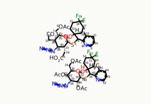 CC(=O)OC[C@@H]1O[C@@H](SC(c2ncccc2C)C2(O)CCC(F)(F)CC2)[C@H](CC(=O)O)[C@@H](N=[N+]=[N-])[C@H]1CC(=O)O.CC(=O)OC[C@H]1O[C@@H](SC(c2ncccc2C)C2(O)CCC(F)(F)CC2)[C@H](OC(C)=O)[C@@H](N=[N+]=[N-])[C@H]1OC(C)=O